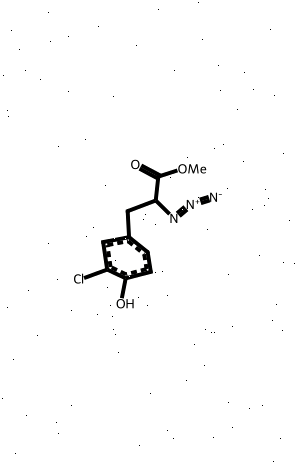 COC(=O)C(Cc1ccc(O)c(Cl)c1)N=[N+]=[N-]